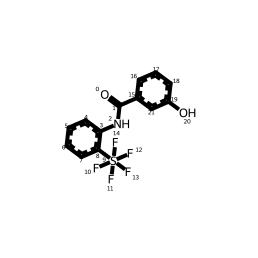 O=C(Nc1ccccc1S(F)(F)(F)(F)F)c1cccc(O)c1